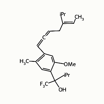 C/C=C(/CC=C=Cc1cc(OC)c(C(O)(C(C)C)C(F)(F)F)cc1C)C(C)C